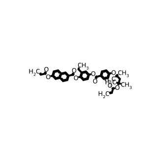 C=CC(=O)Oc1ccc2cc(C(=O)Oc3ccc(OC(=O)c4ccc(OC(C)(C)CC(C)(C)OC(=O)C=C)cc4)cc3CC)ccc2c1